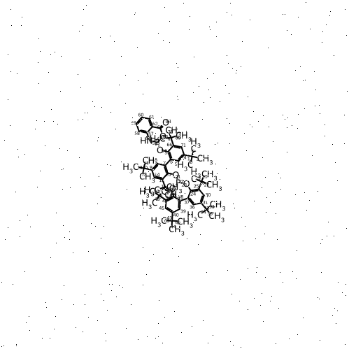 CC(C)(C)c1cc(-c2cc(C(C)(C)C)cc(C(C)(C)C)c2Op2oc3c(C(C)(C)C)cc(C(C)(C)C)cc3c3cc(C(C)(C)C)cc(C(C)(C)C)c3o2)c(OP2Nc3ccccc3C(=O)O2)c(C(C)(C)C)c1